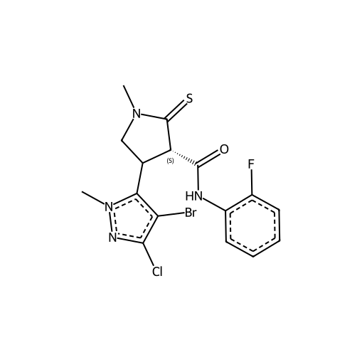 CN1CC(c2c(Br)c(Cl)nn2C)[C@@H](C(=O)Nc2ccccc2F)C1=S